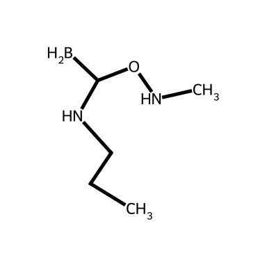 BC(NCCC)ONC